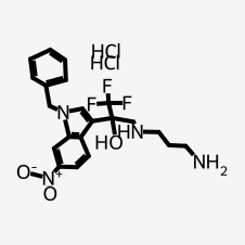 Cl.Cl.NCCCNCC(O)(c1cn(Cc2ccccc2)c2cc([N+](=O)[O-])ccc12)C(F)(F)F